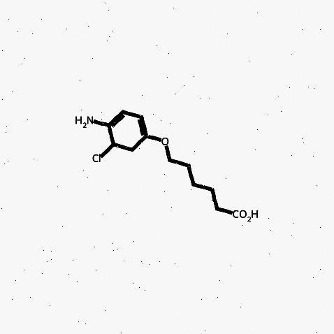 NC1=CC=C(OCCCCCC(=O)O)CC1Cl